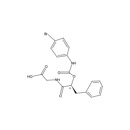 O=C(O)CNC(=O)[C@H](Cc1ccccc1)OC(=O)Nc1ccc(Br)cc1